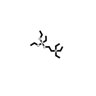 CCO[Si](CC)(OCC)OCC[Si](CC)(CC)CC